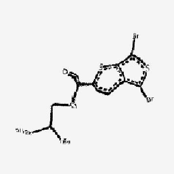 CCCCCCC(CCCC)COC(=O)c1cc2c(Br)sc(Br)c2s1